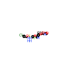 COc1cc2c(Oc3ccc(NC(=S)NC(=O)Cc4ccc(Cl)cc4)cc3F)ccnc2cc1OCC(O)CN1CCOCC1